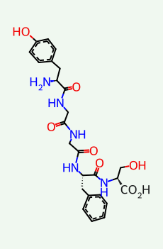 N[C@@H](Cc1ccc(O)cc1)C(=O)NCC(=O)NCC(=O)N[C@@H](Cc1ccccc1)C(=O)N[C@@H](CO)C(=O)O